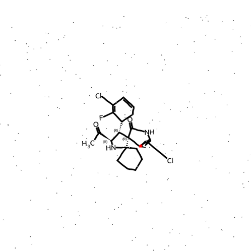 CC(=O)[C@@H]1NC2(CCCCC2)[C@@]2(C(=O)Nc3cc(Cl)ccc32)[C@H]1C1CC=CC(Cl)=C1F